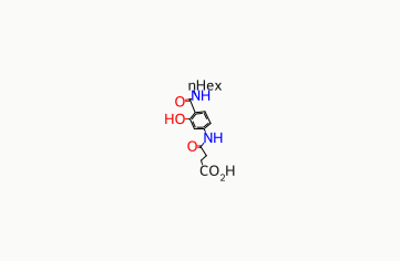 CCCCCCNC(=O)c1ccc(NC(=O)CCC(=O)O)cc1O